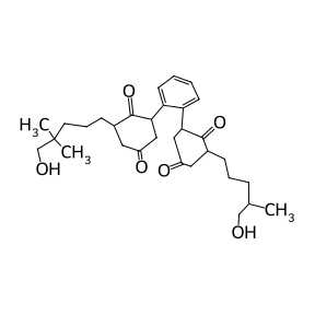 CC(CO)CCCC1CC(=O)CC(c2ccccc2C2CC(=O)CC(CCCC(C)(C)CO)C2=O)C1=O